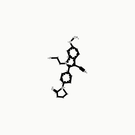 COc1ccc2c(C#N)c(-c3ccc(N4CCCC4=O)cc3)n(CCF)c2c1